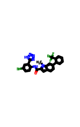 Cn1c(C(=O)Nc2ccc(Br)cc2-c2nnn[nH]2)cc2ccc(-c3ccccc3C(F)(F)F)cc21